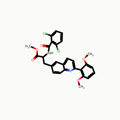 COC(=O)C(Cc1ccc2nc(-c3c(OC)cccc3OC)ccc2c1)[AsH]C(=O)c1c(Cl)cccc1Cl